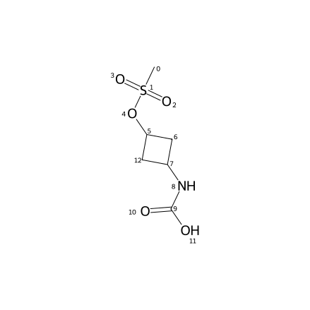 CS(=O)(=O)OC1CC(NC(=O)O)C1